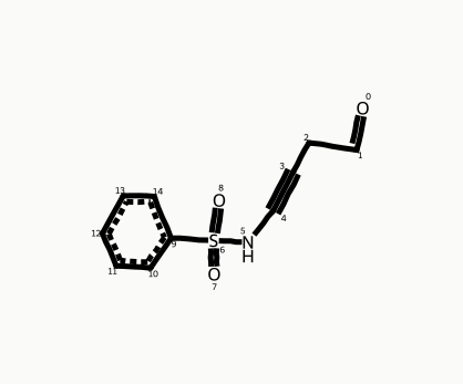 O=CCC#CNS(=O)(=O)c1ccccc1